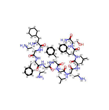 CC(C)C[C@H](NC(=O)[C@@H](Cc1ccccc1)NC(=O)[C@H](CCN)NC(=O)[C@H](Cc1ccccc1)NC(=O)[C@H](CCN)NC(=O)[C@@H](N)CC1CCCCC1)C(=O)N[C@@H](CCN)C(=O)N[C@H](CC(C)C)C(=O)N[C@@H](Cc1ccccc1)C(=O)N[C@@H](CO)C(N)=O